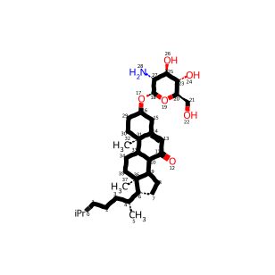 CC(C)CCC[C@@H](C)[C@H]1CCC2C3C(=O)C=C4CC(O[C@H]5O[C@H](CO)[C@@H](O)[C@H](O)[C@H]5N)CC[C@]4(C)C3CC[C@@]21C